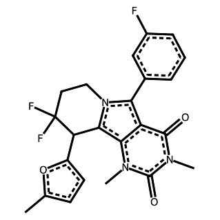 Cc1ccc(C2c3c4c(c(-c5cccc(F)c5)n3CCC2(F)F)c(=O)n(C)c(=O)n4C)o1